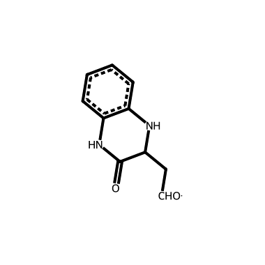 O=[C]CC1Nc2ccccc2NC1=O